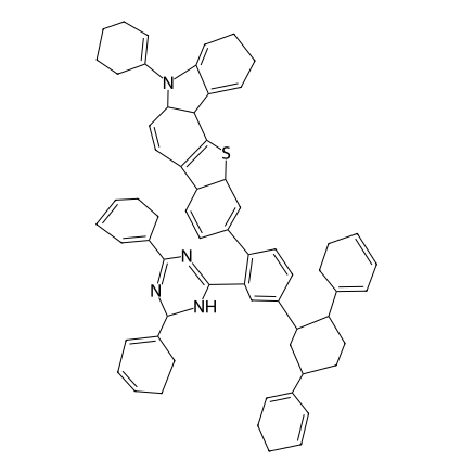 C1=CCCC(C2=NC(C3=CC=CCC3)NC(c3cc(C4CC(C5=CCCC=C5)CCC4C4=CC=CCC4)ccc3C3=CC4SC5=C(C=CC6C5C5=CCCC=C5N6C5=CCCCC5)C4C=C3)=N2)=C1